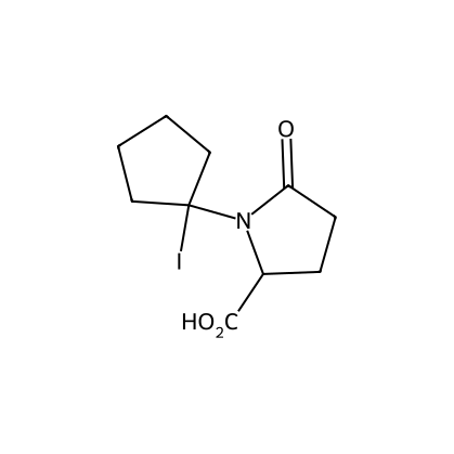 O=C(O)C1CCC(=O)N1C1(I)CCCC1